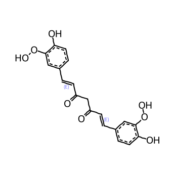 O=C(/C=C/c1ccc(O)c(OO)c1)CC(=O)/C=C/c1ccc(O)c(OO)c1